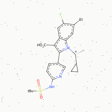 CCc1cc2c(cc1F)c(C(=O)O)c(-c1ccc(NS(=O)(=O)C(C)(C)C)nc1)n2[C@H](C)C1CC1